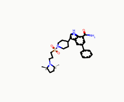 C[C@@H]1CC[C@@H](C)N1CCCS(=O)(=O)N1CCC(c2c[nH]c3c(C(N)=O)cc(-c4ccccc4)cc23)CC1